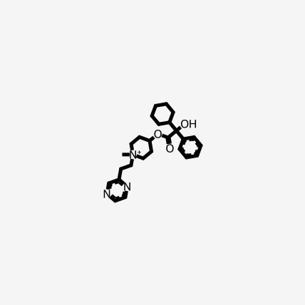 C[N+]1(CCc2cnccn2)CCC(OC(=O)C(O)(c2ccccc2)C2CCCCC2)CC1